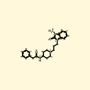 Cn1c(=O)n(CCCN2CCC(NC(=O)Cc3ccccc3)CC2)c2ccccc21